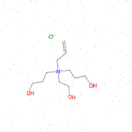 C=CC[N+](CCO)(CCCO)CCCO.[Cl-]